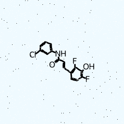 O=C(/C=C/c1ccc(F)c(O)c1F)Nc1cccc(Cl)c1